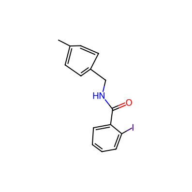 Cc1ccc(CNC(=O)c2ccccc2I)cc1